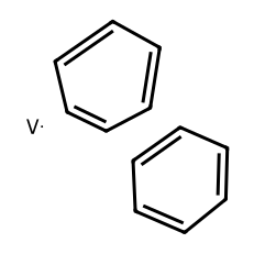 [V].c1ccccc1.c1ccccc1